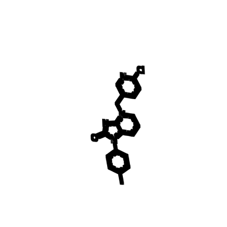 Cc1ccc(-n2c3cccn(Cc4ccc(Cl)nc4)c-3nc2=O)cc1